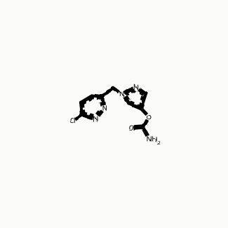 NC(=O)Oc1cnn(Cc2ccc(Cl)nn2)c1